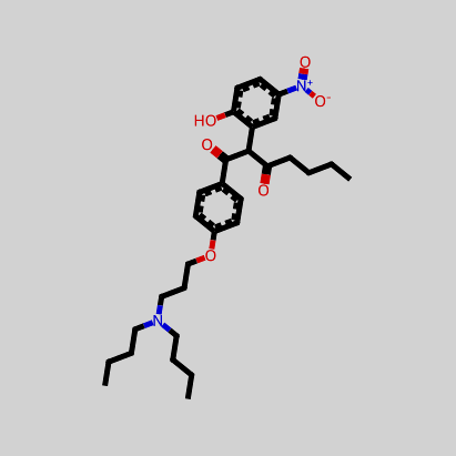 CCCCC(=O)C(C(=O)c1ccc(OCCCN(CCCC)CCCC)cc1)c1cc([N+](=O)[O-])ccc1O